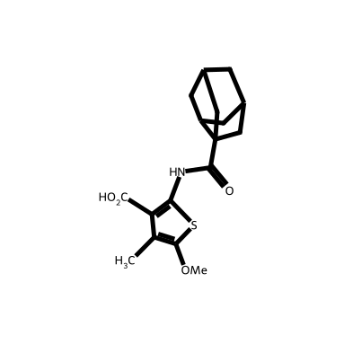 COc1sc(NC(=O)C23CC4CC(CC2C4)C3)c(C(=O)O)c1C